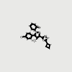 Cc1c(-c2nnc(C3CCC3)o2)nn(-c2ccccc2Br)c1-c1ccc(Cl)cc1